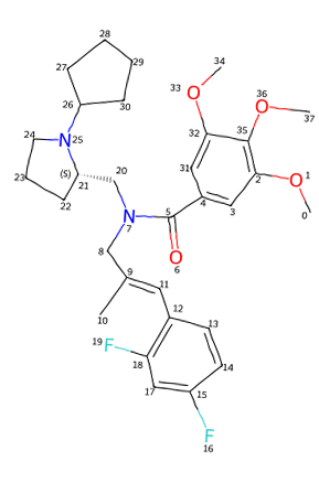 COc1cc(C(=O)N(CC(C)=Cc2ccc(F)cc2F)C[C@@H]2CCCN2C2CCCC2)cc(OC)c1OC